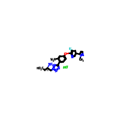 Cc1cc(Oc2ncc(-c3ccnn3C)cc2F)ccc1-c1nnn(C[C@@H](N)CC(=O)O)n1.Cl